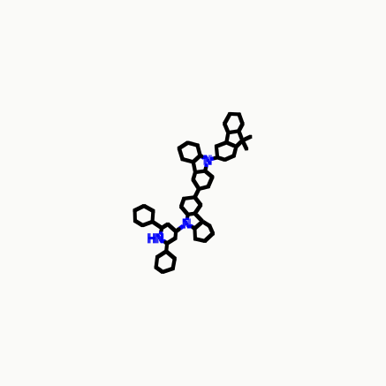 CC1(C)C2CCCCC2C2CC(N3C4CCCCC4C4CC(C5CCC6C(C5)C5CCCCC5N6C5CC(C6CCCCC6)NC(C6CCCCC6)C5)CCC43)CCC21